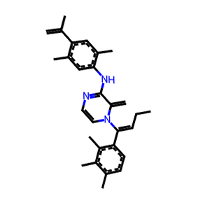 C=C(C)c1cc(C)c(NC2=NC=CN(/C(=C\CC)c3ccc(C)c(C)c3C)C2=C)cc1C